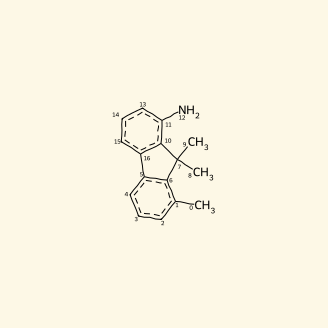 Cc1cccc2c1C(C)(C)c1c(N)cccc1-2